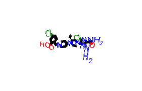 CC[C@H]1CN(c2nc(N)c(C(N)=O)nc2Cl)CCN1C1CCN(Cc2ccc(Cl)cc2C(=O)O)CC1